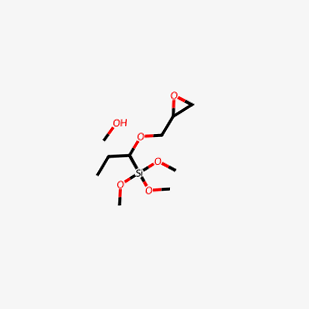 CCC(OCC1CO1)[Si](OC)(OC)OC.CO